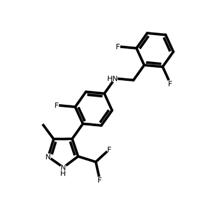 Cc1n[nH]c(C(F)F)c1-c1ccc(NCc2c(F)cccc2F)cc1F